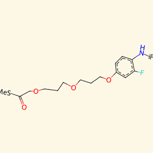 CSC(=O)COCCCOCCCOc1ccc(NC(C)C)c(F)c1